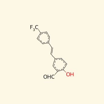 O=Cc1cc(/C=C/c2ccc(C(F)(F)F)cc2)ccc1O